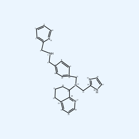 c1ccc(CNCc2ccc(CN(Cc3ncc[nH]3)C3CCCc4cccnc43)cc2)nc1